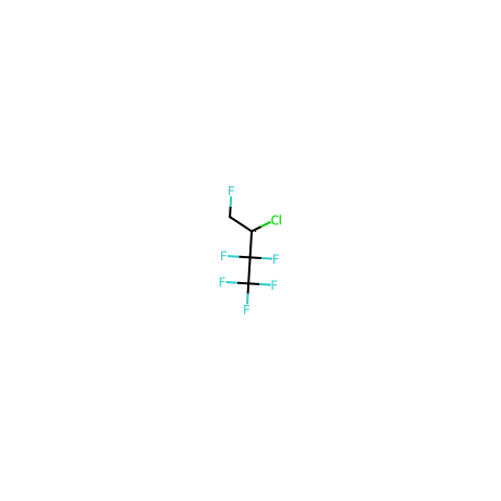 FC[C](Cl)C(F)(F)C(F)(F)F